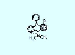 CC(N(C)C)[C]12[CH]3[CH]4[C]5(Br)[C]1(P(c1ccccc1)c1ccccc1)[Fe]43521678[CH]2[CH]1[CH]6[CH]7[CH]28